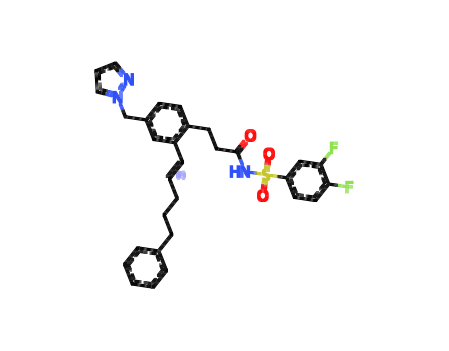 O=C(CCc1ccc(Cn2cccn2)cc1/C=C/CCCc1ccccc1)NS(=O)(=O)c1ccc(F)c(F)c1